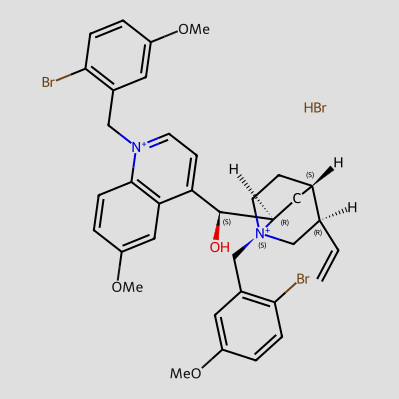 Br.C=C[C@H]1C[N@+]2(Cc3cc(OC)ccc3Br)CC[C@H]1C[C@@H]2[C@@H](O)c1cc[n+](Cc2cc(OC)ccc2Br)c2ccc(OC)cc12